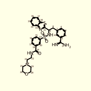 N=C(N)c1cccc(CC(NS(=O)(=O)c2cccc(C(=O)NCCN3CCOCC3)c2)c2nc3ccccc3s2)c1